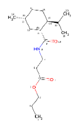 CCCOC(=O)CCNC(=O)[C@@H]1C[C@H](C)CC[C@H]1C(C)C